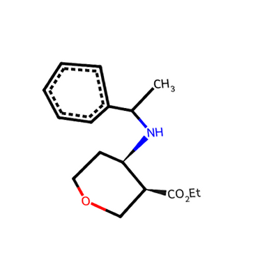 CCOC(=O)[C@H]1COCC[C@H]1NC(C)c1ccccc1